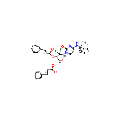 C[Si](C)(C)Nc1ccn([C@@H]2O[C@H](COC(=O)/C=C/c3ccccc3)C(OC(=O)/C=C/c3ccccc3)C2(F)F)c(=O)n1